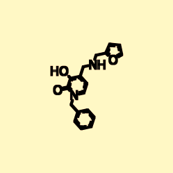 O=c1c(O)c(CNCc2ccco2)ccn1Cc1ccccc1